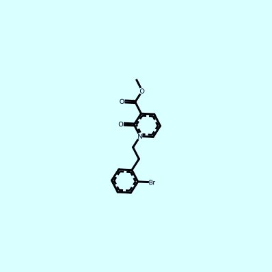 COC(=O)c1cccn(CCc2ccccc2Br)c1=O